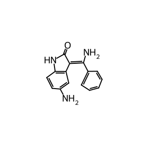 N/C(=C1\C(=O)Nc2ccc(N)cc21)c1ccccc1